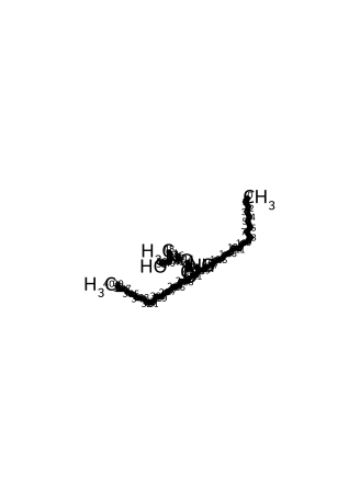 CCCCCCCC/C=C\CCCCCCCCOCC(COCCCCCCCC/C=C\CCCCCCCC)NC(=O)OCCN(C)CCO